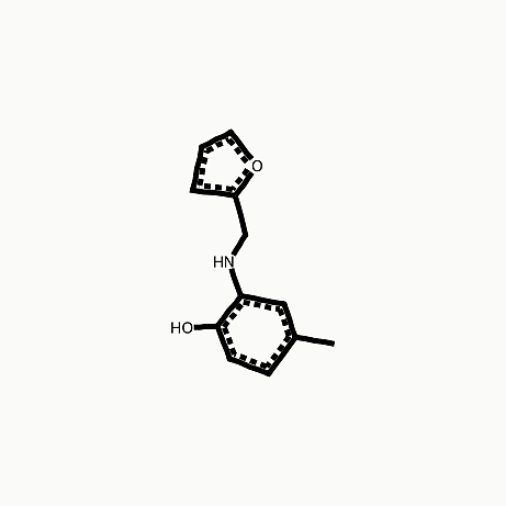 Cc1ccc(O)c(NCc2ccco2)c1